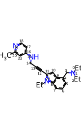 CCN(CC)Cc1cccc2c1cc(C#CCNc1ccnc(C)c1)n2CC